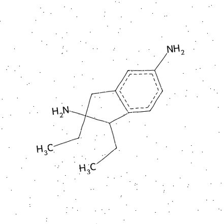 CCC1c2ccc(N)cc2CC1(N)CC